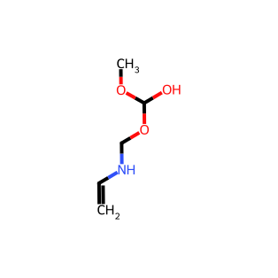 C=CNCOC(O)OC